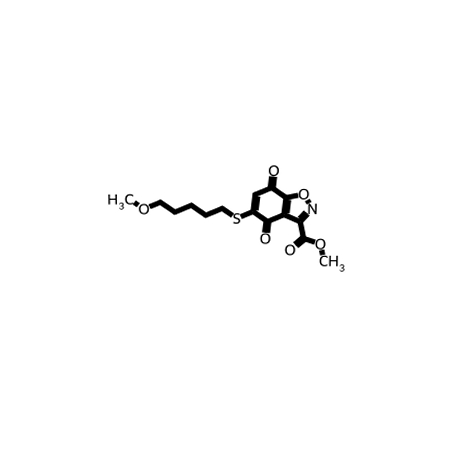 COCCCCCSC1=CC(=O)c2onc(C(=O)OC)c2C1=O